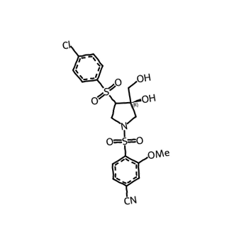 COc1cc(C#N)ccc1S(=O)(=O)N1CC(S(=O)(=O)c2ccc(Cl)cc2)[C@](O)(CO)C1